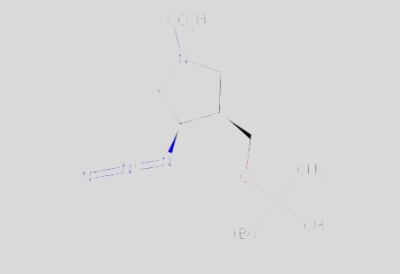 CC(C)(C)[Si](C)(C)OC[C@@H]1CN(C(=O)O)C[C@@H]1N=[N+]=[N-]